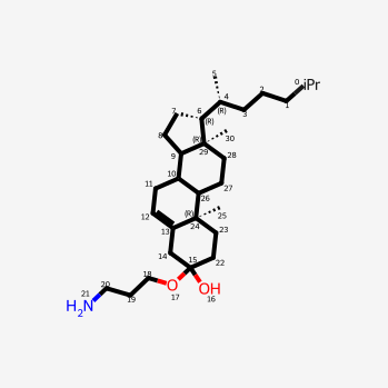 CC(C)CCC[C@@H](C)[C@H]1CCC2C3CC=C4CC(O)(OCCCN)CC[C@]4(C)C3CC[C@@]21C